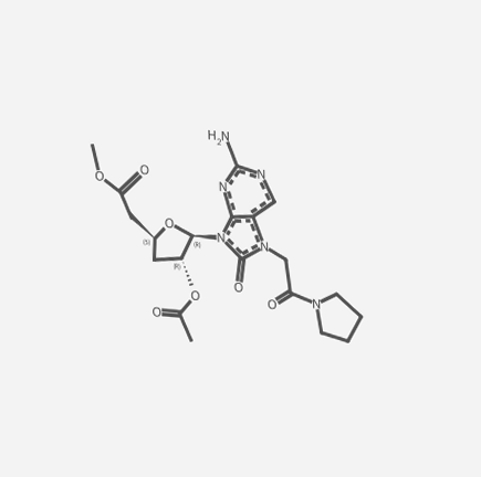 COC(=O)C[C@@H]1C[C@@H](OC(C)=O)[C@H](n2c(=O)n(CC(=O)N3CCCC3)c3cnc(N)nc32)O1